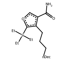 CCCCCCCCCCCCCc1c(C(N)=O)coc1[Si](CC)(CC)CC